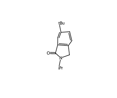 CC(C)N1Cc2ccc(C(C)(C)C)cc2C1=O